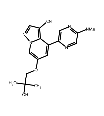 CNc1cnc(-c2cc(OCC(C)(C)O)cn3ncc(C#N)c23)cn1